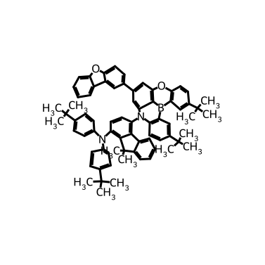 CC(C)(C)c1ccc(N(c2ccc(C(C)(C)C)cc2)c2ccc(N3c4ccc(C(C)(C)C)cc4B4c5cc(C(C)(C)C)ccc5Oc5cc(-c6ccc7oc8ccccc8c7c6)cc3c54)c3c2C(C)(C)c2ccccc2-3)cc1